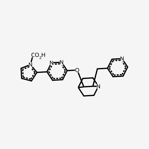 O=C(O)n1cccc1-c1ccc(OC2C3CCN(CC3)C2Cc2cccnc2)nn1